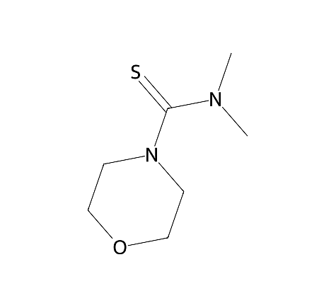 CN(C)C(=S)N1CCOCC1